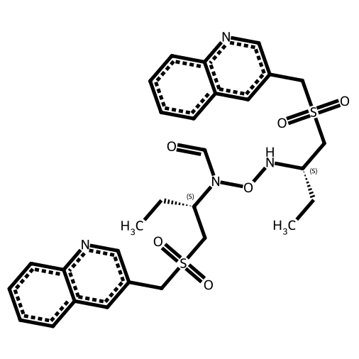 CC[C@@H](CS(=O)(=O)Cc1cnc2ccccc2c1)NON(C=O)[C@@H](CC)CS(=O)(=O)Cc1cnc2ccccc2c1